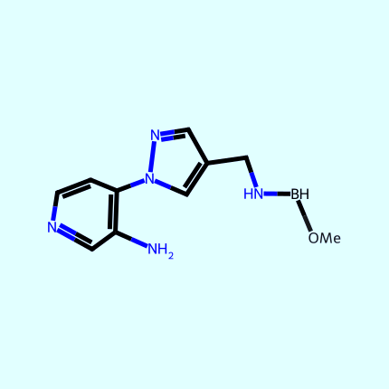 COBNCc1cnn(-c2ccncc2N)c1